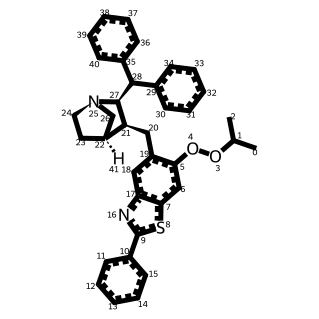 CC(C)OOc1cc2sc(-c3ccccc3)nc2cc1C[C@H]1[C@H]2CC[N@](C2)[C@H]1C(c1ccccc1)c1ccccc1